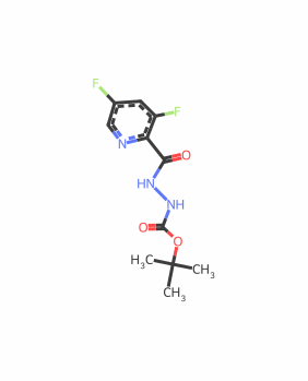 CC(C)(C)OC(=O)NNC(=O)c1ncc(F)cc1F